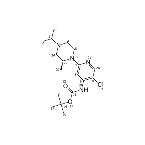 CC(C)N1CCN(c2cc(NC(=O)OC(C)(C)C)c(Cl)cn2)[C@@H](C)C1